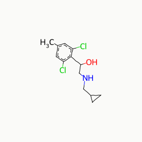 Cc1cc(Cl)c(C(O)CNCC2CC2)c(Cl)c1